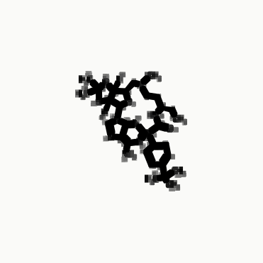 CC[C@H](CCN(C)C[C@H]1OC(n2cnc3c(N)ncnc32)[C@@H]2OC(C)(C)O[C@H]12)NC(=O)Nc1ccc(C(C)(C)C)cc1